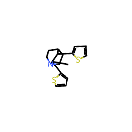 CC1(c2cccs2)C(c2cccs2)C2CCN1CC2